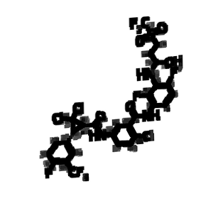 O=C(Nc1ccc(F)c(NC(O)CCS(=O)(=O)C(F)(F)F)c1F)c1cc(NC(=O)[C@H]2[C@H](c3ccc(F)c(C(F)(F)F)c3)C2(Cl)Cl)ccc1Cl